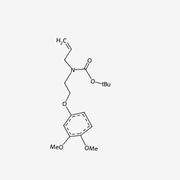 C=CCN(CCOc1ccc(OC)c(OC)c1)C(=O)OC(C)(C)C